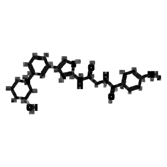 Nc1ccc(C(=O)NCC(=O)Nc2nc(-c3cccc(N4CCC[C@@H](O)C4)c3)cs2)cc1